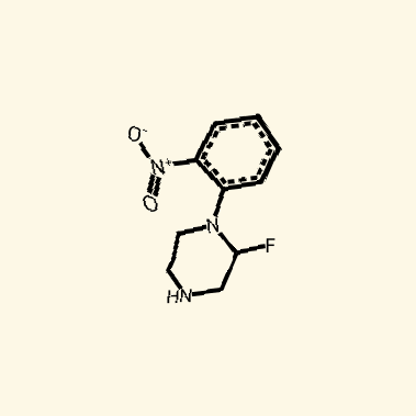 O=[N+]([O-])c1ccccc1N1CCNCC1F